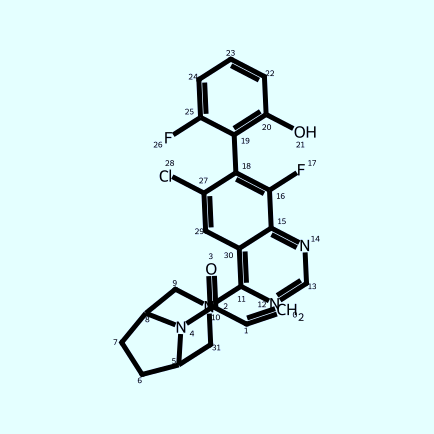 C=CC(=O)N1C2CCC1CN(c1ncnc3c(F)c(-c4c(O)cccc4F)c(Cl)cc13)C2